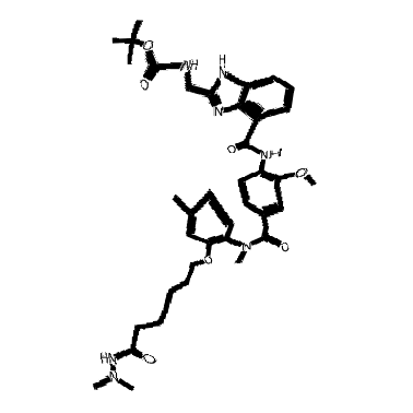 COc1cc(C(=O)N(C)c2ccc(C)cc2OCCCCCC(=O)NN(C)C)ccc1NC(=O)c1cccc2[nH]c(CNC(=O)OC(C)(C)C)nc12